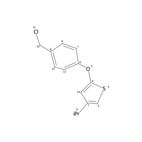 CC(C)c1csc(Oc2ccc(CCl)cc2)c1